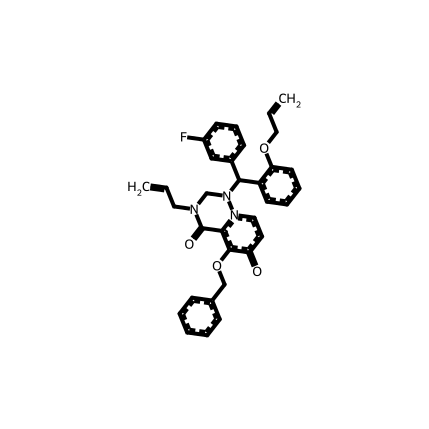 C=CCOc1ccccc1C(c1cccc(F)c1)N1CN(CC=C)C(=O)c2c(OCc3ccccc3)c(=O)ccn21